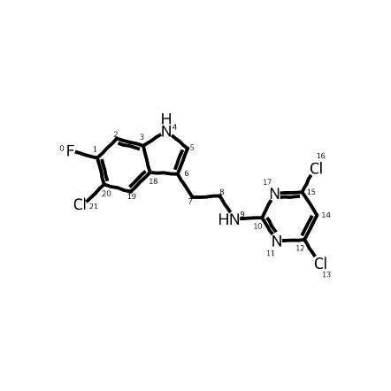 Fc1cc2[nH]cc(CCNc3nc(Cl)cc(Cl)n3)c2cc1Cl